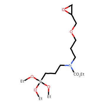 CCOC(=O)N(CCCOCC1CO1)CCC[Si](OCC)(OCC)OCC